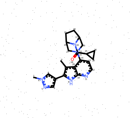 Cc1c(-c2cnn(C)c2)[nH]c2nccc(N3CC4CCC(C3)N4C(=O)C3CC3)c12